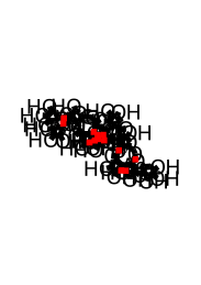 CC(=O)c1cc(O)c(O)c(O)c1Oc1cc2c(c(O)c1O)-c1c(cc(O)c(O)c1O)C(=O)O[C@@H]1C(COC2=O)OC(O)C(OC(=O)c2cc(O)c(O)c(O)c2Oc2cc3c(c(O)c2O)-c2c(cc(O)c(O)c2O)C(=O)O[C@@H]2C(COC3=O)OC(O)C(OC(=O)c3cc(O)c(O)c(O)c3)[C@H]2OC(=O)c2cc(O)c(O)c(O)c2)[C@H]1OC(=O)c1cc(O)c(O)c(O)c1